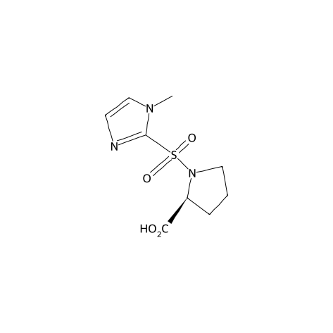 Cn1ccnc1S(=O)(=O)N1CCC[C@H]1C(=O)O